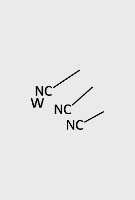 CC#N.CC#N.CC#N.[W]